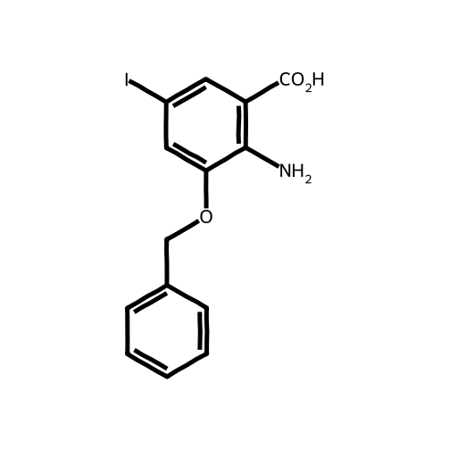 Nc1c(OCc2ccccc2)cc(I)cc1C(=O)O